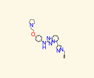 C#CCn1cc(-c2cccc3nc(Nc4ccc(OCCN5CCCC5)cc4)nn23)cn1